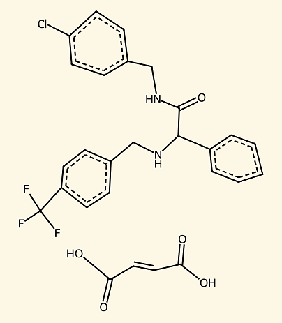 O=C(NCc1ccc(Cl)cc1)C(NCc1ccc(C(F)(F)F)cc1)c1ccccc1.O=C(O)/C=C/C(=O)O